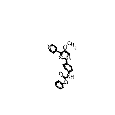 COc1cnc(-c2ccc(NC(=O)Oc3ccccc3)cc2)nc1-c1ccncc1